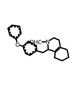 O=CN1CCC2=C(CCCC2)C1Cc1ccc(Oc2ccccc2)cc1